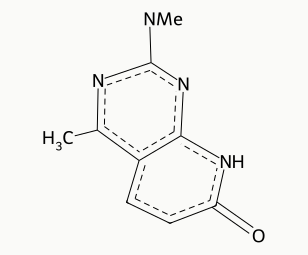 CNc1nc(C)c2ccc(=O)[nH]c2n1